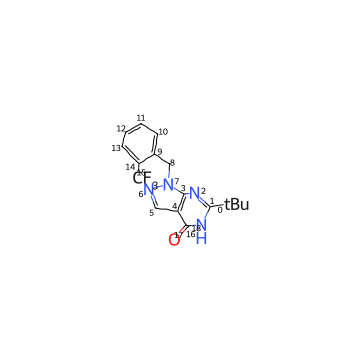 CC(C)(C)c1nc2c(cnn2Cc2ccccc2C(F)(F)F)c(=O)[nH]1